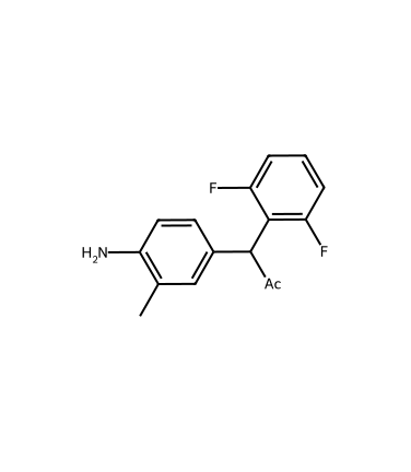 CC(=O)C(c1ccc(N)c(C)c1)c1c(F)cccc1F